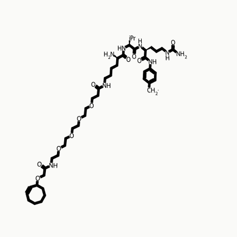 [CH2]c1ccc(NC(=O)[C@H](CCCNC(N)=O)NC(=O)[C@@H](NC(=O)[C@H](N)CCCCNC(=O)CCOCCOCCOCCOCCNC(=O)COC2C#CCCCCC2)C(C)C)cc1